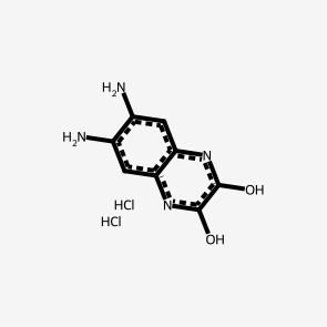 Cl.Cl.Nc1cc2nc(O)c(O)nc2cc1N